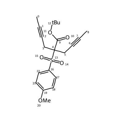 CC#CCC(CC#CC)(C(=O)OC(C)(C)C)S(=O)(=O)c1ccc(OC)cc1